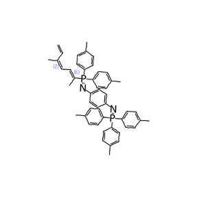 C=C/C(C)=C\C=C(/C)P(=Nc1ccc(N=P(c2ccc(C)cc2)(c2ccc(C)cc2)c2ccc(C)cc2)cc1)(c1ccc(C)cc1)c1ccc(C)cc1